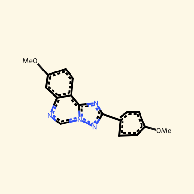 COc1ccc(-c2nc3c4ccc(OC)cc4ncn3n2)cc1